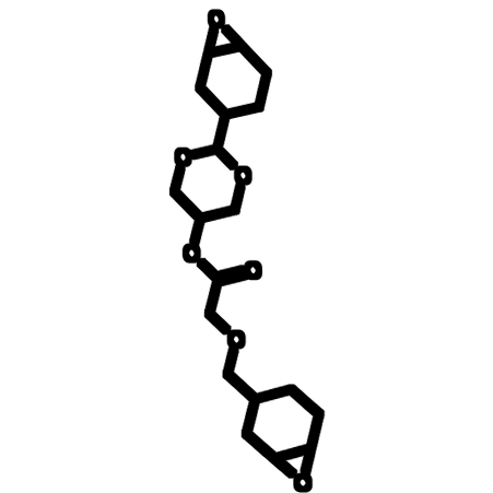 O=C(COCC1CCC2OC2C1)OC1COC(C2CCC3OC3C2)OC1